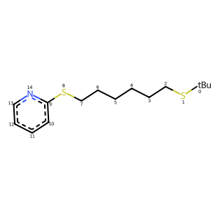 CC(C)(C)SCCCCCCSc1ccccn1